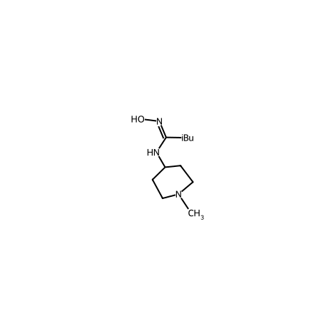 CCC(C)/C(=N/O)NC1CCN(C)CC1